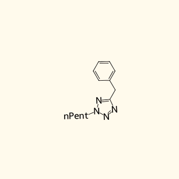 CCCCCn1nnc(Cc2ccccc2)n1